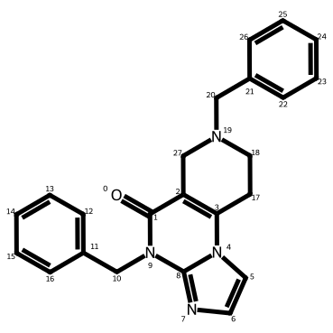 O=c1c2c(n3ccnc3n1Cc1ccccc1)CCN(Cc1ccccc1)C2